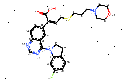 O=C(O)C(=CCSCCCN1CCOCC1)c1ccc2ncnc(N3CCc4ccc(F)cc43)c2c1